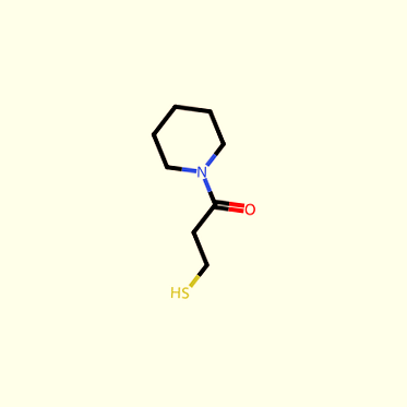 O=C(CCS)N1CCCCC1